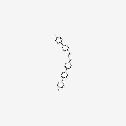 Cc1ccc(-c2ccc(SCSc3ccc(-c4ccc(-c5ccc(C)cc5)cc4)cc3)cc2)cc1